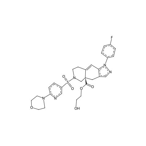 O=C(OCCO)[C@]12Cc3cnn(-c4ccc(F)cc4)c3C=C1CCN(S(=O)(=O)c1ccc(N3CCOCC3)nc1)C2